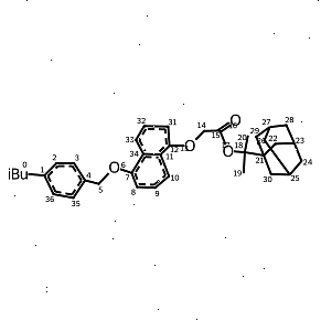 CCC(C)c1ccc(COc2cccc3c(OCC(=O)OC(C)(C)C45CC6CC(CC(C6)C4)C5)cccc23)cc1